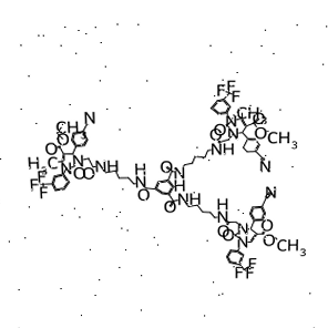 CCOC(=O)C1=CN(c2cccc(C(F)(F)F)c2)C(=O)N(CC(=O)NCCCCCNC(=O)c2cc(C(=O)NCCCCCNC(=O)CN3C(=O)N(c4cccc(C(F)(F)F)c4)C(C)=C(C(=O)OCC)C3C3=CC=C(C#N)CC3)cc(C(=O)NCCCCCNC(=O)CN3C(=O)N(c4cccc(C(F)(F)F)c4)C(C)=C(C(=O)OCC)C3c3ccc(C#N)cc3)c2)C1c1ccc(C#N)cc1